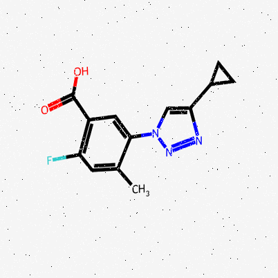 Cc1cc(F)c(C(=O)O)cc1-n1cc(C2CC2)nn1